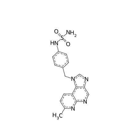 Cc1ccc2c(ncc3ncn(Cc4ccc(NS(N)(=O)=O)cc4)c32)n1